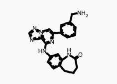 NCc1cccc(-c2cn3ncnc3c(Nc3ccc4c(c3)NC(=O)CCC4)n2)c1